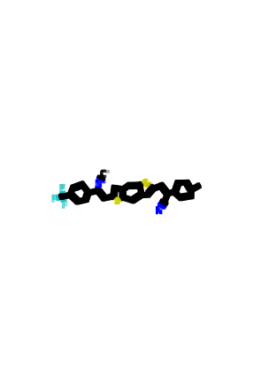 [C-]#[N+]/C(=C\c1cc2cc3sc(/C=C(\C#N)c4ccc(C)cc4)cc3cc2s1)c1ccc(C(F)(F)F)cc1